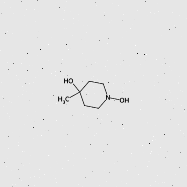 CC1(O)CCN(O)CC1